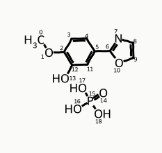 COc1ccc(-c2ncco2)cc1O.O=P(O)(O)O